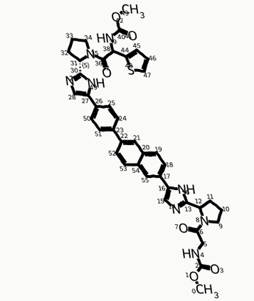 COC(=O)NCC(=O)N1CCCC1c1ncc(-c2ccc3cc(-c4ccc(-c5cnc([C@@H]6CCCN6C(=O)C(NC(=O)OC)c6cccs6)[nH]5)cc4)ccc3c2)[nH]1